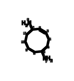 NC1/C=C\CCC(N)CCCC1